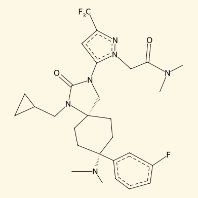 CN(C)C(=O)Cn1nc(C(F)(F)F)cc1N1C[C@]2(CC[C@@](c3cccc(F)c3)(N(C)C)CC2)N(CC2CC2)C1=O